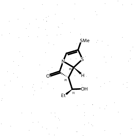 CC[C@H](O)[C@@H]1C(=O)N2C=C(SC)S[C@H]12